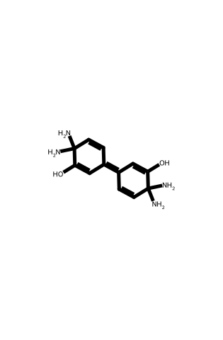 NC1(N)C=CC(=C2C=CC(N)(N)C(O)=C2)C=C1O